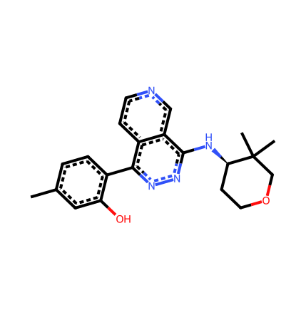 Cc1ccc(-c2nnc(N[C@@H]3CCOCC3(C)C)c3cnccc23)c(O)c1